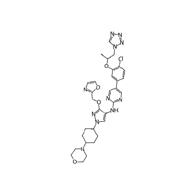 CC(Cn1cnnn1)Oc1cc(-c2cnc(Nc3cn(C4CCC(N5CCOCC5)CC4)nc3OCc3ncco3)nc2)ccc1Cl